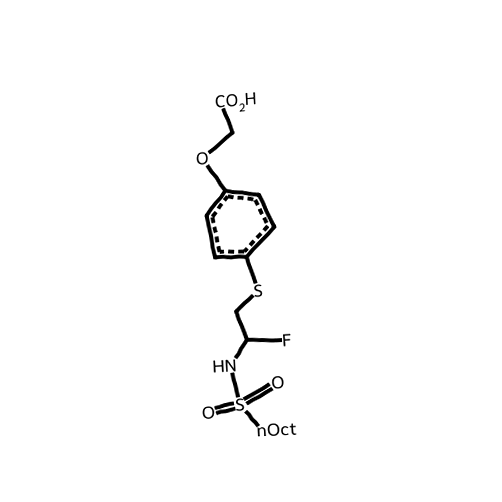 CCCCCCCCS(=O)(=O)NC(F)CSc1ccc(OCC(=O)O)cc1